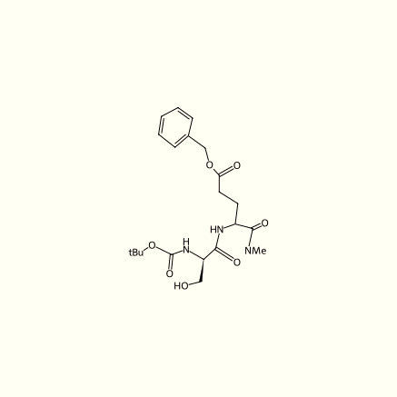 CNC(=O)C(CCC(=O)OCc1ccccc1)NC(=O)[C@@H](CO)NC(=O)OC(C)(C)C